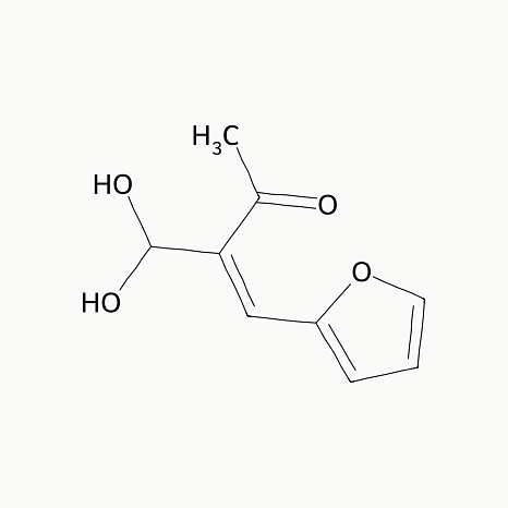 CC(=O)C(=Cc1ccco1)C(O)O